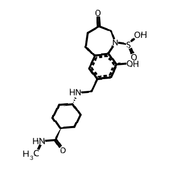 CNC(=O)[C@H]1CC[C@H](NCc2cc(O)c3c(c2)CCC(=O)CN3S(=O)O)CC1